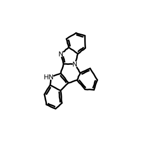 c1ccc2c(c1)nc1c3[nH]c4ccccc4c3c3ccccc3n21